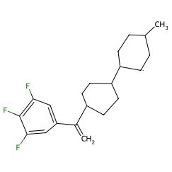 C=C(c1cc(F)c(F)c(F)c1)C1CCC(C2[CH]CC(C)CC2)CC1